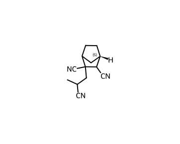 CC(C#N)CC1(C#N)C2CC[C@@H](C2)C1C#N